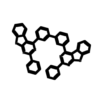 c1ccc(-c2nc(-c3cccc(-c4cccc(-c5nc(-c6ccccc6)nc6sc7ccccc7c56)c4)c3)c3c(n2)oc2ccccc23)cc1